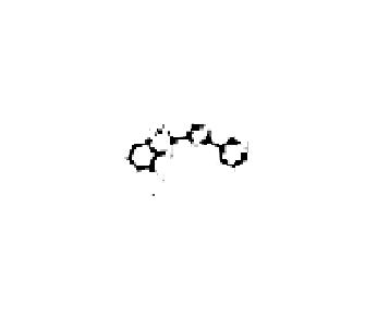 O/N=C1\CCCc2nnc(-c3cnc(-c4cccnc4)s3)nc21